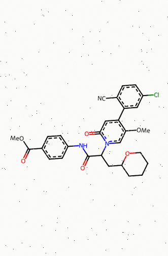 COC(=O)c1ccc(NC(=O)C(CC2CCCCO2)n2cc(OC)c(-c3cc(Cl)ccc3C#N)cc2=O)cc1